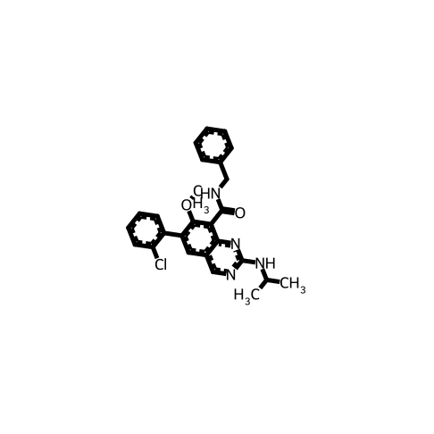 COc1c(-c2ccccc2Cl)cc2cnc(NC(C)C)nc2c1C(=O)NCc1ccccc1